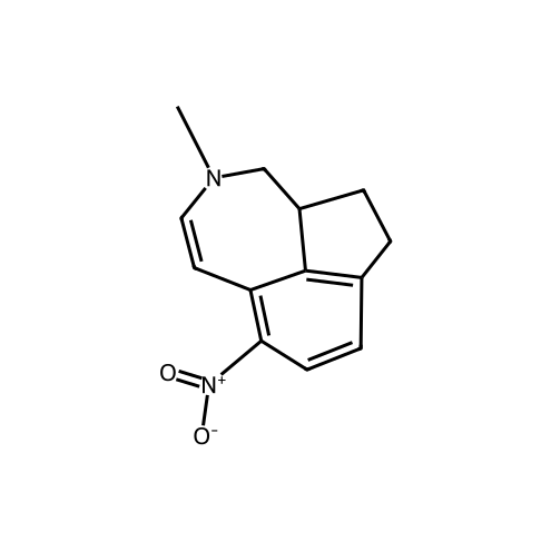 CN1C=Cc2c([N+](=O)[O-])ccc3c2C(CC3)C1